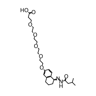 CC(C)CC(=O)NN=C1CCCc2cc(OCCOCCOCCOCCOCCC(=O)O)ccc21